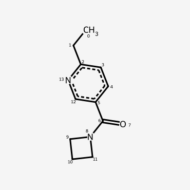 CCc1ccc(C(=O)N2CCC2)cn1